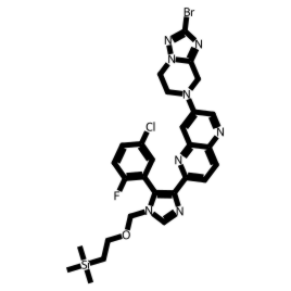 C[Si](C)(C)CCOCn1cnc(-c2ccc3ncc(N4CCn5nc(Br)nc5C4)cc3n2)c1-c1cc(Cl)ccc1F